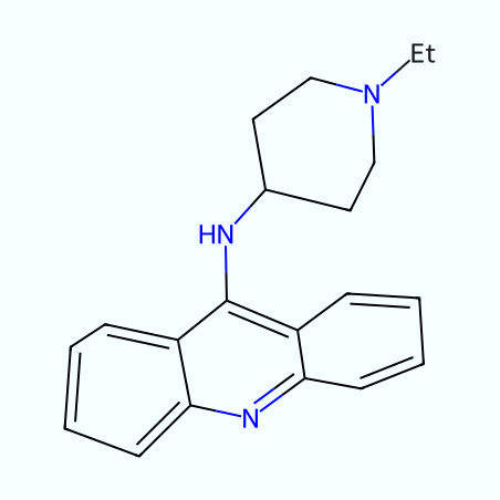 CCN1CCC(Nc2c3ccccc3nc3ccccc23)CC1